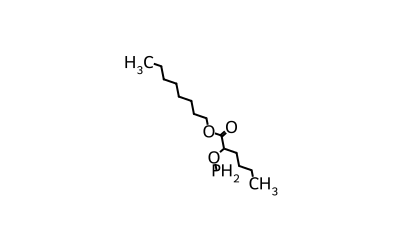 CCCCCCCCOC(=O)C(CCCC)OP